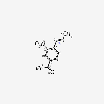 C/C=C/c1ccc(C(=O)C(C)C)cc1[N+](=O)[O-]